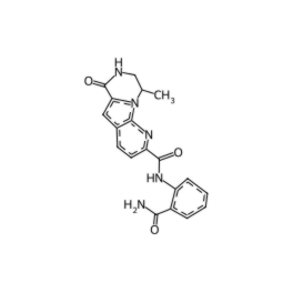 CC1CNC(=O)c2cc3ccc(C(=O)Nc4ccccc4C(N)=O)nc3n21